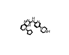 C1=Cc2nnc(Nc3ccc(N4CCNCC4)cn3)nc2N(C2CCCC2)C1